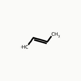 [CH]/C=C/C